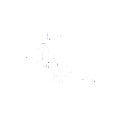 CON=C(C(=O)NC1C(=O)N2C(C(=O)O)=C(CSc3nncs3)CS[C@@H]12)c1csc(NC(=O)C(F)(F)F)n1